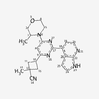 CC1COCCN1c1cc(C2CC(C)(C#N)C2)nc(-c2ccnc3[nH]ccc23)n1